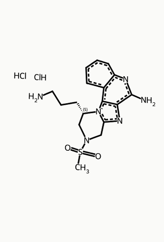 CS(=O)(=O)N1Cc2nc3c(N)nc4ccccc4c3n2[C@@H](CCCN)C1.Cl.Cl